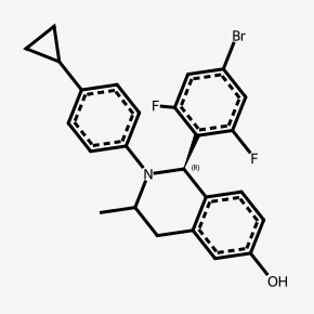 CC1Cc2cc(O)ccc2[C@H](c2c(F)cc(Br)cc2F)N1c1ccc(C2CC2)cc1